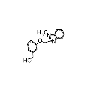 Cn1c(COc2cccc(CO)c2)nc2ccccc21